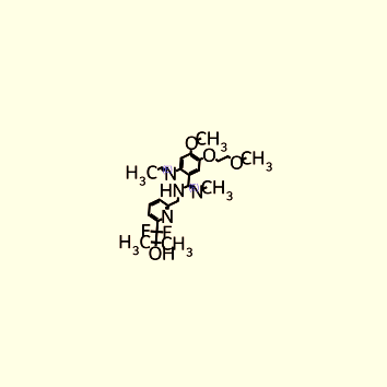 C/C=N/c1cc(OC)c(OCCOC)cc1/C(=N\C)NCc1cccc(C(F)(F)C(C)(C)O)n1